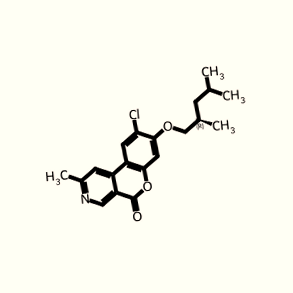 Cc1cc2c(cn1)c(=O)oc1cc(OC[C@H](C)CC(C)C)c(Cl)cc12